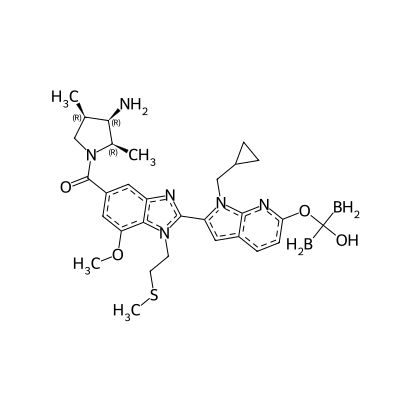 BC(B)(O)Oc1ccc2cc(-c3nc4cc(C(=O)N5C[C@@H](C)[C@@H](N)[C@H]5C)cc(OC)c4n3CCSC)n(CC3CC3)c2n1